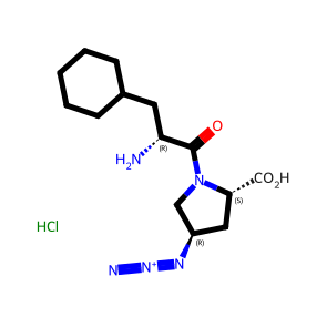 Cl.[N-]=[N+]=N[C@@H]1C[C@@H](C(=O)O)N(C(=O)[C@H](N)CC2CCCCC2)C1